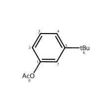 CC(=O)Oc1c[c]cc(C(C)(C)C)c1